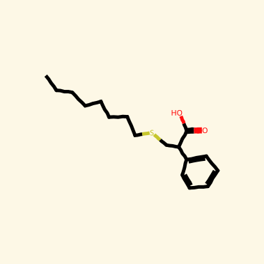 CCCCCCCCSCC(C(=O)O)c1ccccc1